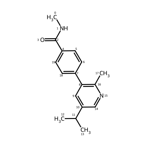 CNC(=O)c1ccc(-c2cc(C(C)C)cnc2C)cc1